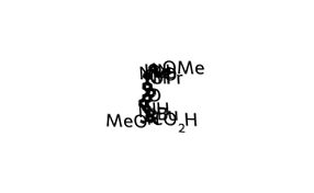 COC[C@@H]1CN(C(=O)O)[C@](c2nc3ccc4cc5c(cc4c3[nH]2)OCc2cc(-c3cnc([C@@H]4CCCN4C(=O)[C@@H](NC(=O)OC)C(C)C)[nH]3)ccc2-5)(C(C)(C)C)C1